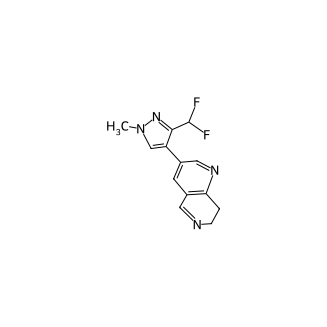 Cn1cc(-c2cnc3c(c2)C=NCC3)c(C(F)F)n1